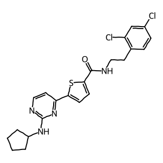 O=C(NCCc1ccc(Cl)cc1Cl)c1ccc(-c2ccnc(NC3CCCC3)n2)s1